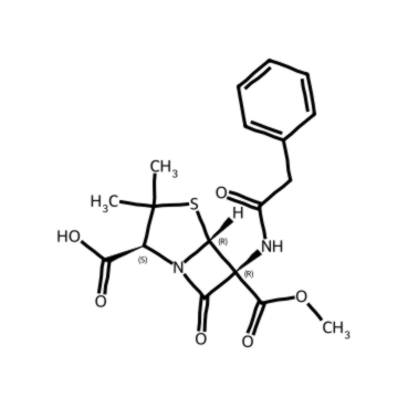 COC(=O)[C@]1(NC(=O)Cc2ccccc2)C(=O)N2[C@@H](C(=O)O)C(C)(C)S[C@@H]21